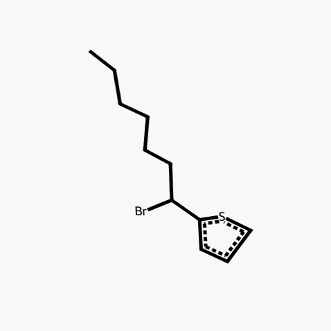 CCCCCCC(Br)c1cccs1